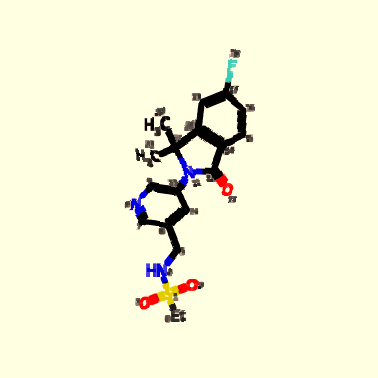 CCS(=O)(=O)NCc1cncc(N2C(=O)c3ccc(F)cc3C2(C)C)c1